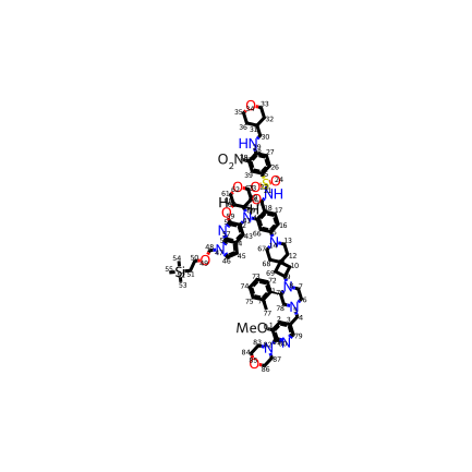 COc1cc(CN2CCN(C3CC4(CCN(c5ccc(C(=O)NS(=O)(=O)c6ccc(NCC7CCOCC7)c([N+](=O)[O-])c6)c(N6c7cc8ccn(COCC[Si](C)(C)C)c8nc7O[C@H]7COCC[C@@H]76)c5)CC4)C3)[C@H](c3ccccc3C)C2)cnc1N1CCOCC1